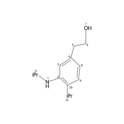 CC(C)Nc1cc(CCO)ccc1C(C)C